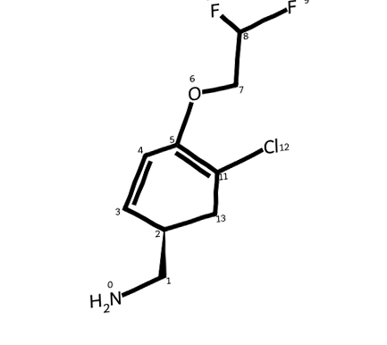 NC[C@H]1C=CC(OCC(F)F)=C(Cl)C1